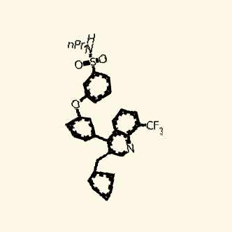 CCCNS(=O)(=O)c1cccc(Oc2cccc(-c3c(Cc4ccccc4)cnc4c(C(F)(F)F)cccc34)c2)c1